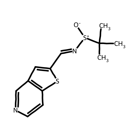 CC(C)(C)[S+]([O-])N=Cc1cc2cnccc2s1